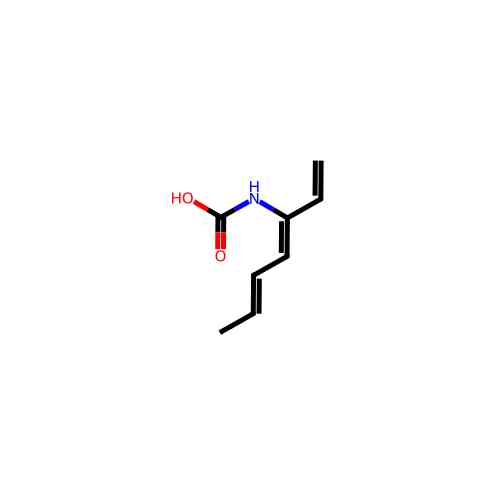 C=CC(=CC=CC)NC(=O)O